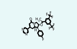 C[C@@H](O[C@H]1CN2C(=O)C=C(c3cncnc3)C[C@H]2[C@@H]1c1ccc(F)cc1)c1cc(C(F)(F)F)cc(C(F)(F)F)c1